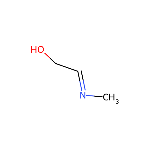 CN=CCO